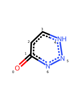 O=c1cc[nH]nn1